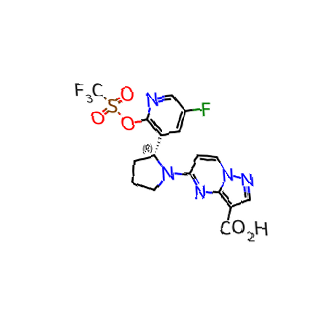 O=C(O)c1cnn2ccc(N3CCC[C@@H]3c3cc(F)cnc3OS(=O)(=O)C(F)(F)F)nc12